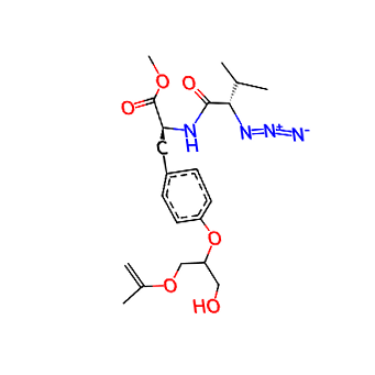 C=C(C)OCC(CO)Oc1ccc(C[C@H](NC(=O)[C@@H](N=[N+]=[N-])C(C)C)C(=O)OC)cc1